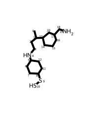 CC(CCNC1CCC(SS)CC1)C1CCCC(CN)C1